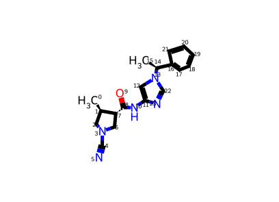 C[C@@H]1CN(C#N)C[C@H]1C(=O)Nc1cn([C@@H](C)c2ccccc2)cn1